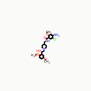 COc1ccc(OC)c(C(O)CN2CCC(CNC(=O)c3cc(Cl)c(N)cc3OC)CC2)c1